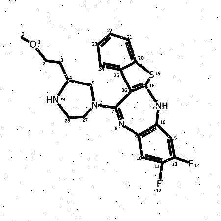 COCCC1CN(C2=Nc3cc(F)c(F)cc3Nc3sc4ccccc4c32)CCN1